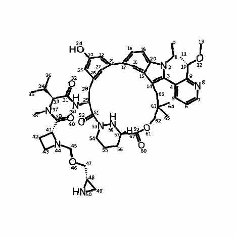 CCn1c(-c2cccnc2[C@H](C)OC)c2c3cc(ccc31)-c1cc(O)cc(c1)C[C@H](NC(=O)[C@H](C(C)C)N(C)C(=O)[C@H]1CCN1COC[C@@H]1CN1)C(=O)N1CCC[C@H](N1)C(=O)OCC(C)(C)C2